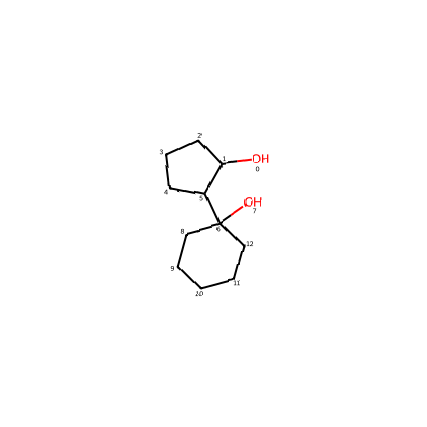 O[C]1CCCC1C1(O)CCCCC1